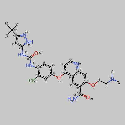 CN(C)CCOc1cc2nccc(Oc3ccc(NC(=O)Nc4cc(C(C)(C)C)n[nH]4)c(Cl)c3)c2cc1C(N)=O